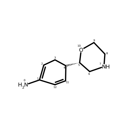 NC1=CCC([C@H]2CNCCO2)C=C1